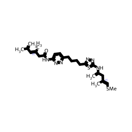 C=C(C)/C=C(\C)CC(=O)Nc1ccc(CCCCc2nnc(NC(=C)C/C(C)=C/SC)s2)nn1